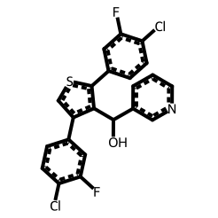 OC(c1cccnc1)c1c(-c2ccc(Cl)c(F)c2)csc1-c1ccc(Cl)c(F)c1